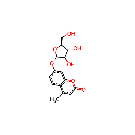 Cc1cc(=O)oc2cc(O[C@@H]3O[C@@H](CO)[C@H](O)[C@H]3O)ccc12